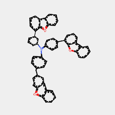 c1cc(-c2cccc3c2oc2ccccc23)cc(N(c2ccc(-c3ccc4oc5ccccc5c4c3)cc2)c2ccc(-c3cccc4c3oc3ccccc34)cc2)c1